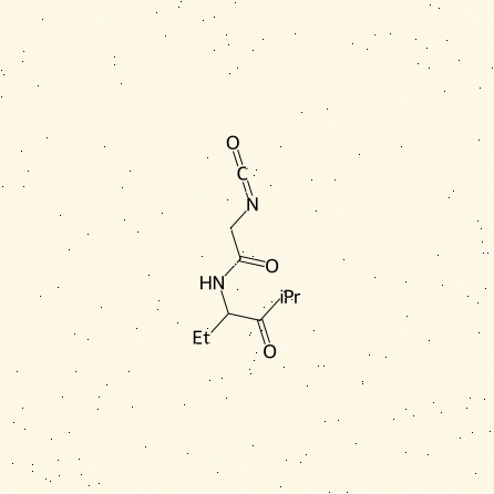 CCC(NC(=O)CN=C=O)C(=O)C(C)C